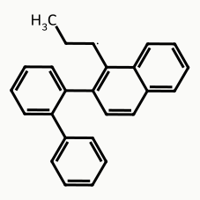 CC[CH]c1c(-c2ccccc2-c2ccccc2)ccc2ccccc12